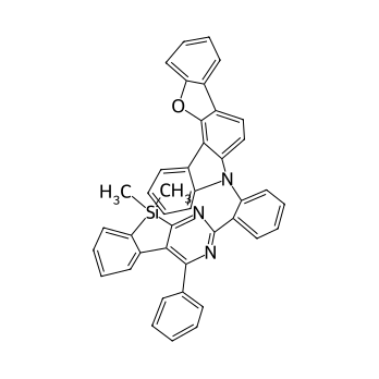 C[Si]1(C)c2ccccc2-c2c(-c3ccccc3)nc(-c3ccccc3-n3c4ccccc4c4c5oc6ccccc6c5ccc43)nc21